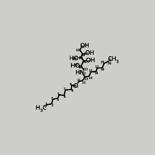 CCCCCCCCCCOCCC(CCCCCCCC)NC[C@H](O)[C@@H](O)[C@H](O)[C@H](O)CO